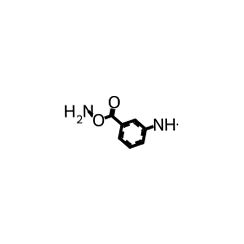 [NH]c1cccc(C(=O)ON)c1